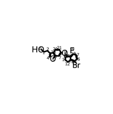 OCCc1coc2cc(O[C@@H]3CCc4c(Br)ccc(F)c43)ccc12